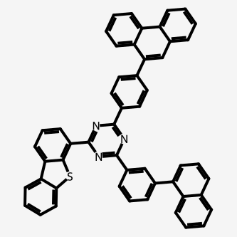 c1cc(-c2nc(-c3ccc(-c4cc5ccccc5c5ccccc45)cc3)nc(-c3cccc4c3sc3ccccc34)n2)cc(-c2cccc3ccccc23)c1